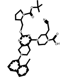 Cc1cccc2cccc(N3CCc4c(nc(OCC5CCCN5C(=O)OC(C)(C)C)nc4N4CCN(C(=O)O)C(CC#N)C4)C3)c12